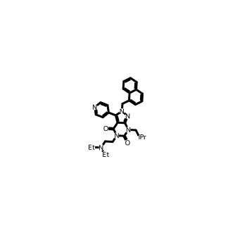 CCN(CC)CCn1c(=O)c2c(-c3ccncc3)n(Cc3cccc4ccccc34)nc2n(CC(C)C)c1=O